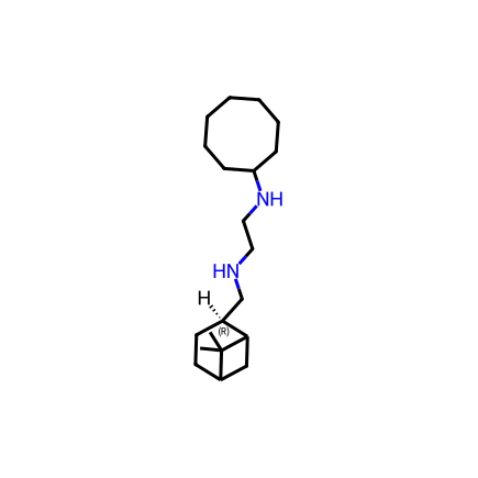 CC1(C)C2CC[C@@H](CNCCNC3CCCCCCC3)C1C2